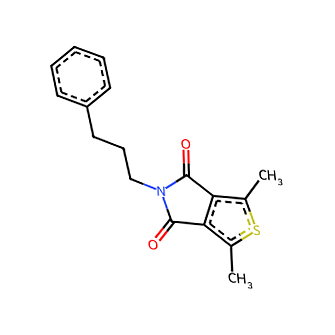 Cc1sc(C)c2c1C(=O)N(CCCc1ccccc1)C2=O